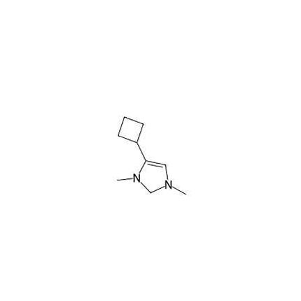 CN1C=C(C2CCC2)N(C)C1